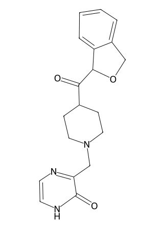 O=C(C1CCN(Cc2ncc[nH]c2=O)CC1)C1OCc2ccccc21